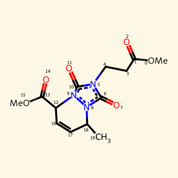 COC(=O)CCn1c(=O)n2n(c1=O)C(C(=O)OC)C=CC2C